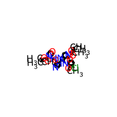 COc1c(Cl)cccc1Nc1c(-c2ccncc2OC[C@@H]2COCCN2C(=O)OC(C)(C)C)[nH]c2c1C(=O)N(C(=O)OC(C)(C)C)CC2